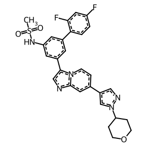 CS(=O)(=O)Nc1cc(-c2ccc(F)cc2F)cc(-c2cnc3cc(-c4cnn(C5CCOCC5)c4)ccn23)c1